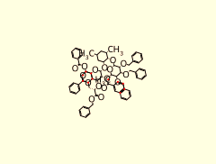 C[C@H]1C[C@H](C)[C@H](O[C@@H]2O[C@H](C)[C@H](OCc3ccccc3)[C@H](OCc3ccccc3)[C@H]2OCc2ccccc2)[C@H](O[C@H]2O[C@H](COC(=O)c3ccccc3)[C@H](OC(=O)c3ccccc3)[C@H](O[C@@H](CC3CCCCC3)C(=O)OCc3ccccc3)[C@H]2OC(=O)c2ccccc2)C1